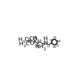 CC(C)(C)OC(=O)C(N)CCNCc1ccccc1